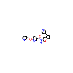 O=C(N[C@@H]1COc2cccc(-c3ccncc3)c2C1)c1ccc(OCc2cccnc2)nc1